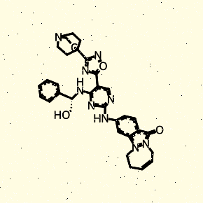 O=c1c2ccc(Nc3ncc(-c4nc(C56CCN(CC5)CC6)no4)c(N[C@H](CO)c4ccccc4)n3)cc2n2n1CC=CCC2